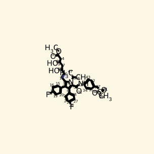 COC(=O)C[C@H](O)C[C@@H](O)/C=C/c1c(-c2ccc(F)cc2)c(-c2ccc(F)cc2)c(C(=O)Nc2ccc(CS(C)(=O)=O)cc2)n1C(C)C